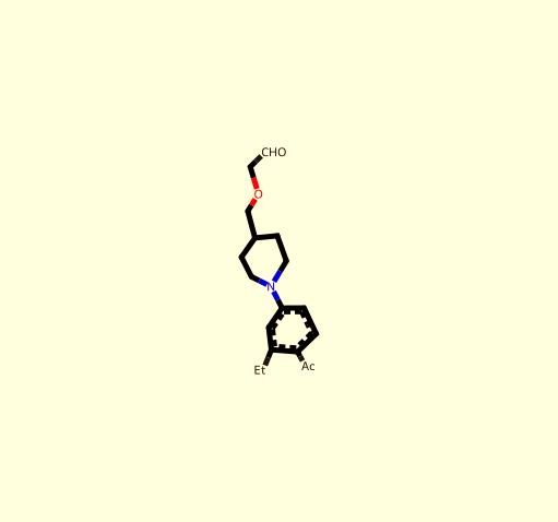 CCc1cc(N2CCC(COCC=O)CC2)ccc1C(C)=O